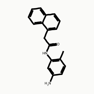 Cc1ccc(N)cc1NC(=O)Cc1cccc2ccccc12